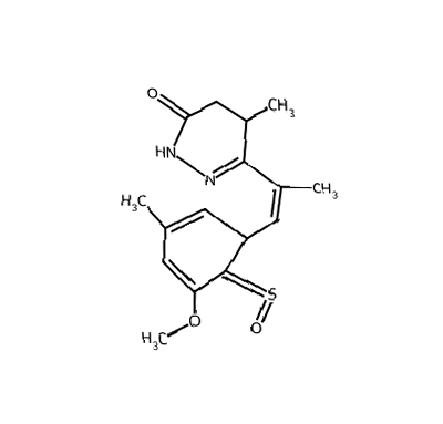 COC1=CC(C)=CC(C=C(C)C2=NNC(=O)CC2C)C1=S=O